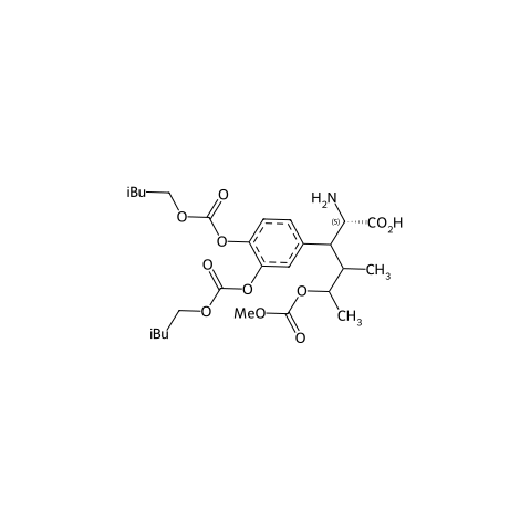 CCC(C)COC(=O)Oc1ccc(C(C(C)C(C)OC(=O)OC)[C@H](N)C(=O)O)cc1OC(=O)OCC(C)CC